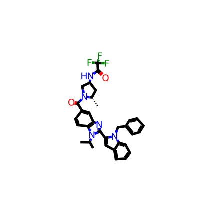 CC(C)n1c(-c2cc3ccccc3n2Cc2ccccc2)nc2cc(C(=O)N3CC(NC(=O)C(F)(F)F)C[C@@H]3C)ccc21